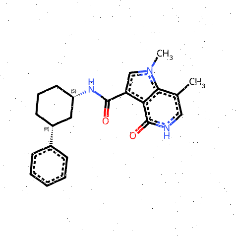 Cc1c[nH]c(=O)c2c(C(=O)N[C@H]3CCC[C@@H](c4ccccc4)C3)cn(C)c12